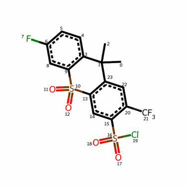 CC1(C)c2ccc(F)cc2S(=O)(=O)c2cc(S(=O)(=O)Cl)c(C(F)(F)F)cc21